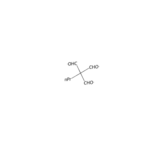 CCCC([C]=O)([C]=O)[C]=O